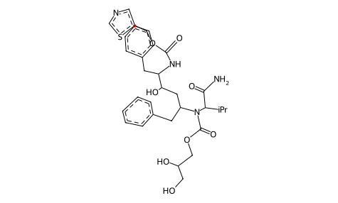 CC(C)C(C(N)=O)N(C(=O)OCC(O)CO)C(Cc1ccccc1)CC(O)C(Cc1ccccc1)NC(=O)OCc1cncs1